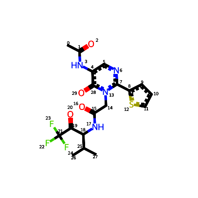 CC(=O)Nc1cnc(-c2cccs2)n(CC(=O)NC(C(=O)C(F)(F)F)C(C)C)c1=O